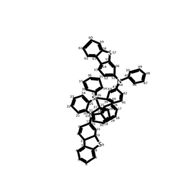 C1=CC2c3ccccc3SC2C=C1N(c1ccccc1)c1ccccc1[Si](c1ccccc1)(c1ccccc1)c1cccc(N(c2ccccc2)c2ccc3c(c2)sc2ccccc23)c1